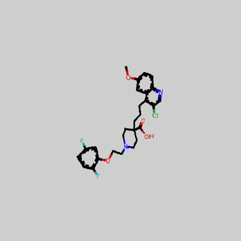 COc1ccc2ncc(Cl)c(CCCC3(C(=O)O)CCN(CCOc4cc(F)ccc4F)CC3)c2c1